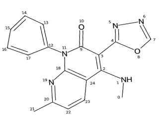 CNc1c(-c2nnco2)c(=O)n(-c2ccccc2)c2nc(C)ccc12